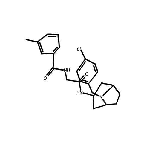 Cc1cccc(C(=O)NCC(=O)NC2CC3CCC(C2)N3Cc2ccc(Cl)cc2)c1